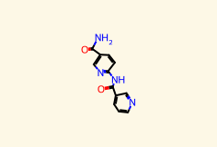 NC(=O)c1ccc(NC(=O)c2cccnc2)nc1